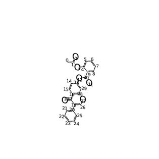 CC(=O)Oc1ccccc1C(=O)Oc1ccc2c(=O)c(-c3ccccc3)coc2c1